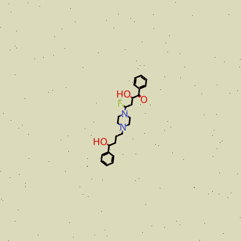 O=C(c1ccccc1)C(O)CC(F)N1CCN(CCCC(O)c2ccccc2)CC1